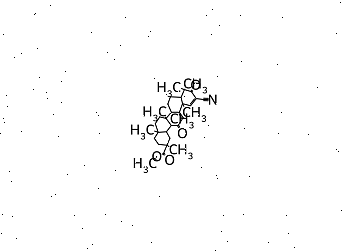 COC(=O)C1(C)CCC2(C)CCC3(C)C(C(=O)C=C4C5(C)C=C(C#N)C(=O)C(C)(C)C5CCC43C)C2C1